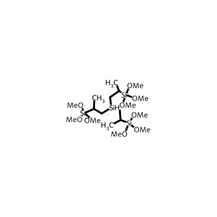 CO[Si](OC)(OC)C(C)C[SiH](CC(C)[Si](OC)(OC)OC)CC(C)[Si](OC)(OC)OC